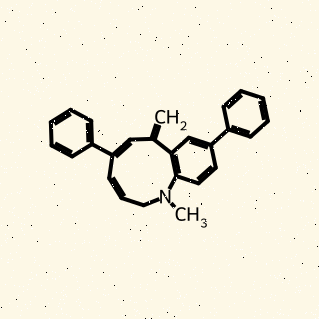 C=C1/C=C(c2ccccc2)\C=C/CN(C)c2ccc(-c3ccccc3)cc21